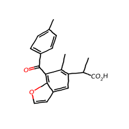 Cc1ccc(C(=O)c2c(C)c(C(C)C(=O)O)cc3ccoc23)cc1